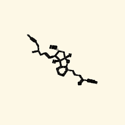 CC#CCC(C)C/C=C/[C@@H]1[C@H]2c3cccc(CCCC(=O)OC)c3O[C@H]2C[C@H]1O